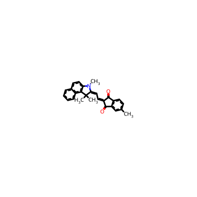 Cc1ccc2c(c1)C(=O)/C(=C/C=C1/N(C)c3ccc4ccccc4c3C1(C)C)C2=O